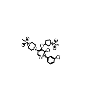 CS(=O)(=O)N1CCN(c2cnn(-c3cccc(Cl)c3)c(=O)c2OC2CCN(S(C)(=O)=O)C2)CC1